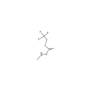 C[SiH2]O[SiH](C)CCC(F)(F)F